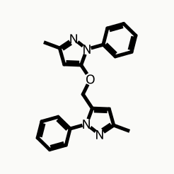 Cc1cc(COc2cc(C)nn2-c2ccccc2)n(-c2ccccc2)n1